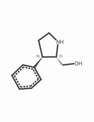 OC[C@H]1NCC[C@@H]1c1ccccc1